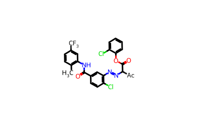 CC(=O)C(N=Nc1cc(C(=O)Nc2cc(C(F)(F)F)ccc2C)ccc1Cl)C(=O)Oc1ccccc1Cl